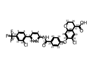 O=C(Nc1ccc(-c2ccc(C(F)(F)F)cc2Cl)nn1)c1ccc(Oc2cc3c(cc2Cl)C(C(=O)O)CCO3)cc1